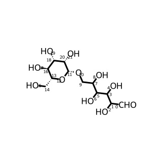 O=CC(O)C(O)C(O)C(O)CO[C@@H]1O[C@H](CO)[C@@H](O)[C@H](O)[C@@H]1O